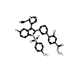 COC(=O)c1ccc(-c2cccc(-c3c(-c4ccsc4C#N)c4cc(F)ccc4n3S(=O)(=O)c3ccc(C)cc3)c2)c(Cl)c1